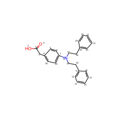 O=C(O)Cc1ccc(N(CCc2ccccc2)CCc2ccccc2)cc1